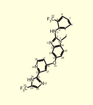 Cn1c(Nc2ccccc2C(F)(F)F)nc2cc(Oc3ccnc(-c4ncc(C(F)(F)F)[nH]4)c3)ccc21